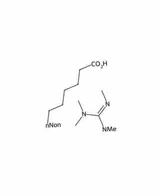 CCCCCCCCCCCCCCC(=O)O.CN=C(NC)N(C)C